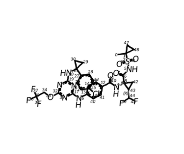 CC1(S(=O)(=O)NC(=O)[C@@]2(NC(=O)c3ccc(Nc4nc(NC5(c6ccc(Cl)cc6)CC5)nc(OCC(F)(F)F)n4)cc3)C[C@H]2C(F)F)CC1